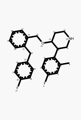 Cc1cc(F)ccc1C1CNCCC1OCc1ccccc1Cc1ccc(F)cc1